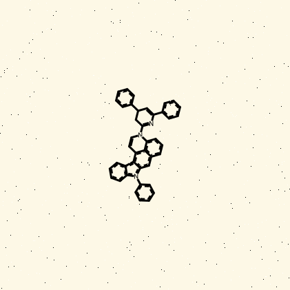 C1=CN(C2=NC(c3ccccc3)=CC(c3ccccc3)C2)c2cccc3cc4c(c1c23)c1ccccc1n4-c1ccccc1